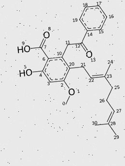 COc1cc(O)c(C(=O)O)c(CC(=O)c2ccccc2)c1C/C=C(\C)CCC=C(C)C